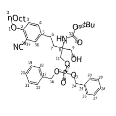 CCCCCCCCOc1ccc(CCC(CO)(COP(=O)(OCc2ccccc2)OCc2ccccc2)NC(=O)OC(C)(C)C)cc1C#N